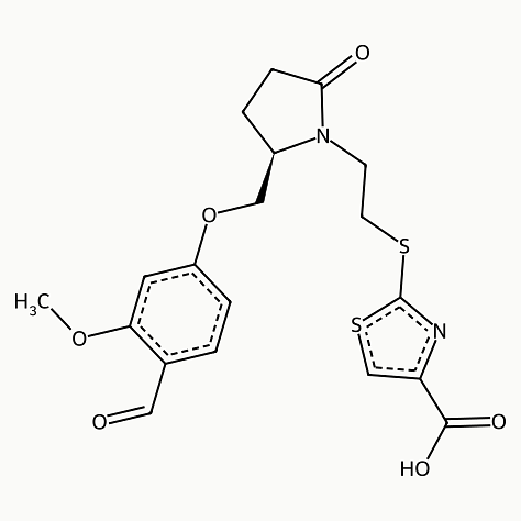 COc1cc(OC[C@H]2CCC(=O)N2CCSc2nc(C(=O)O)cs2)ccc1C=O